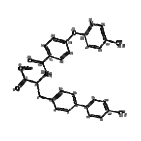 COC(=O)C(Cc1ccc(-c2ccc(C(F)(F)F)cc2)cc1)NC(=O)c1ccc(Oc2ccc(C(F)(F)F)cn2)cc1